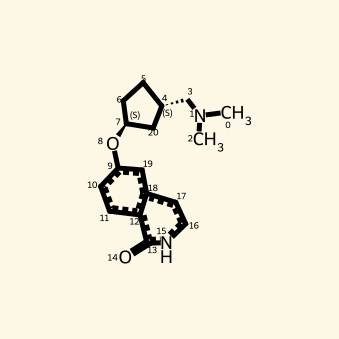 CN(C)C[C@H]1CC[C@H](Oc2ccc3c(=O)[nH]ccc3c2)C1